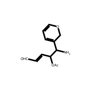 CC(=O)OC(C=CC=O)C(N)C1=CC=COC1